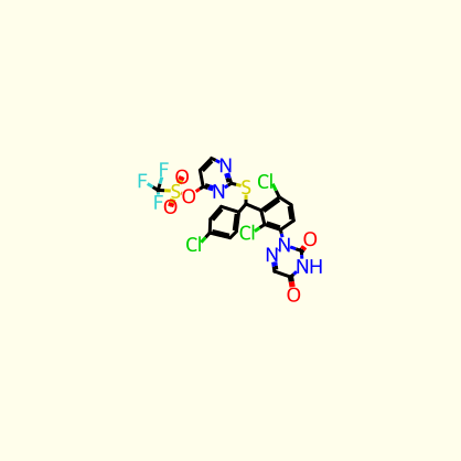 O=c1cnn(-c2ccc(Cl)c(C(Sc3nccc(OS(=O)(=O)C(F)(F)F)n3)c3ccc(Cl)cc3)c2Cl)c(=O)[nH]1